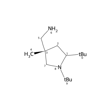 CC(C)(C)C1C[C@@](C)(CN)CN1C(C)(C)C